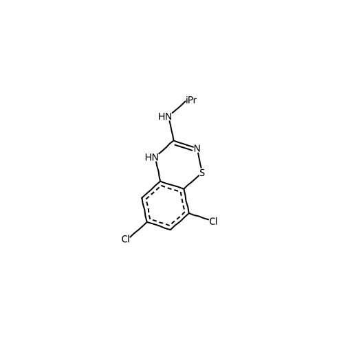 CC(C)NC1=NSc2c(Cl)cc(Cl)cc2N1